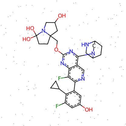 Oc1cc(F)c(C2CC2)c(-c2ncc3c(N4CC5CCC4CN5)nc(OCC45CCC(O)(O)N4CC(O)C5)nc3c2F)c1